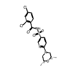 C[C@@H]1CN(c2ccc(S(=O)(=O)NC(=O)c3ccc(Cl)cc3Cl)cn2)C[C@H](C)O1